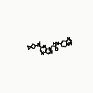 CN(c1cnc2cnn(CC(=O)Nc3ccn4ncnc4c3)c2n1)C1CC2(CC2)C1